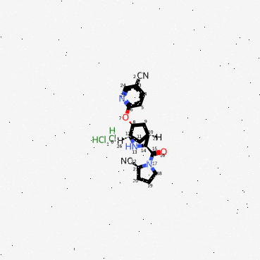 Cl.Cl.N#Cc1ccc(O[C@@H]2C[C@@H]3C[C@H]2N[C@@H]3C(=O)N2CCC[C@H]2C#N)nc1